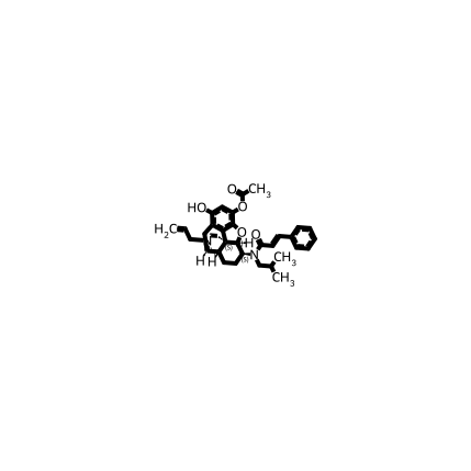 C=CCN1CC[C@]23c4c5c(O)cc(OC(C)=O)c4O[C@H]2[C@@H](N(CC(C)C)C(=O)C=Cc2ccccc2)CC[C@H]3[C@H]1C5